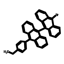 CCc1ccc(-c2c3ccccc3c(-c3c4ccccc4c(Br)c4ccccc34)c3ccccc23)cc1